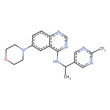 CC(Nc1ncnc2ccc(N3CCOCC3)cc12)c1cnc(C(F)(F)F)nc1